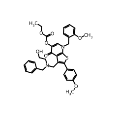 CCOC(=O)Oc1cn(Cc2ccccc2OC)c2sc(-c3ccc(OC)cc3)c(CN(CCO)Cc3ccccc3)c2c1=O